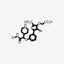 CCNC(=O)C(Oc1cccc(-c2sc(C(=O)O)c(OCC(=O)O)c2Br)c1)C1CCNCC1